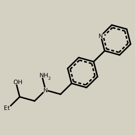 CCC(O)CN(N)Cc1ccc(-c2ccccn2)cc1